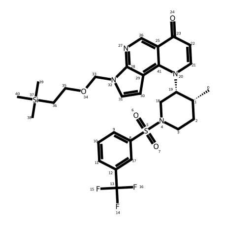 C[C@@H]1CCN(S(=O)(=O)c2cccc(C(F)(F)F)c2)C[C@@H]1n1ccc(=O)c2cnc3c(ccn3COCC[Si](C)(C)C)c21